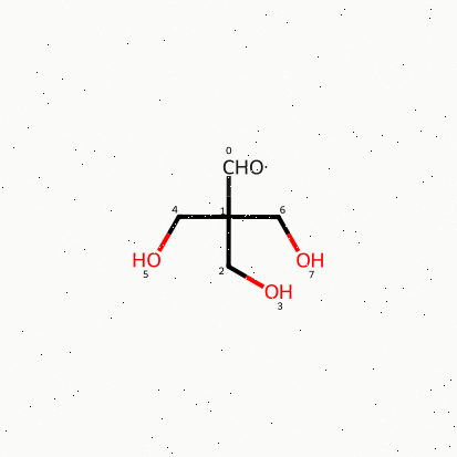 O=[C]C(CO)(CO)CO